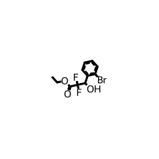 CCOC(=O)C(F)(F)C(O)c1ccccc1Br